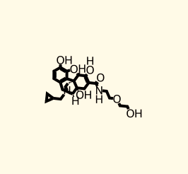 O=C(NCCOCCO)C1=C(O)[C@@H]2Oc3c(O)ccc4c3[C@@]23CCN(CC2CC2)[C@H](C4)[C@]3(O)C1